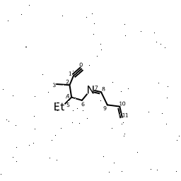 C#CC(C)C(CC)C/N=C\CC=C